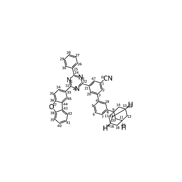 N#Cc1cc(-c2cccc(C34C[C@H]5C[C@@H](C3)C[C@@H](C4)C5)c2)cc(-c2nc(-c3ccccc3)nc(-c3ccc4oc5ccccc5c4c3)n2)c1